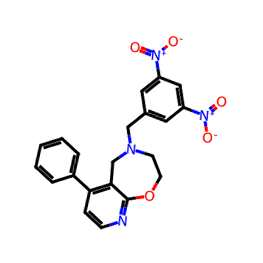 O=[N+]([O-])c1cc(CN2CCOc3nccc(-c4ccccc4)c3C2)cc([N+](=O)[O-])c1